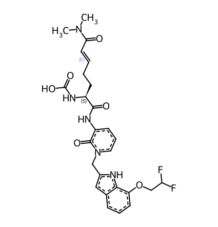 CN(C)C(=O)/C=C/CC[C@H](NC(=O)O)C(=O)Nc1cccn(Cc2cc3cccc(OCC(F)F)c3[nH]2)c1=O